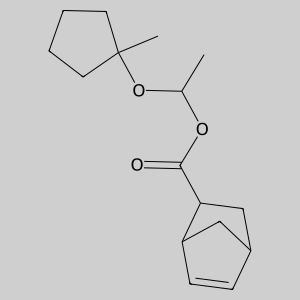 CC(OC(=O)C1CC2C=CC1C2)OC1(C)CCCC1